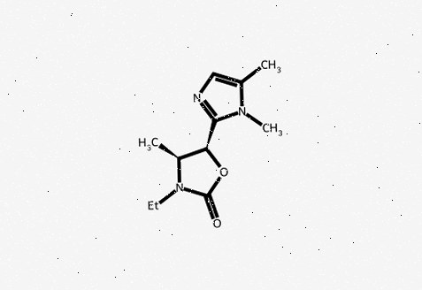 CCN1C(=O)O[C@H](c2ncc(C)n2C)[C@@H]1C